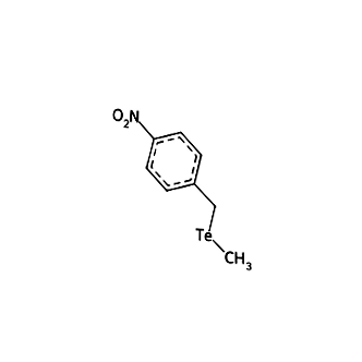 C[Te]Cc1ccc([N+](=O)[O-])cc1